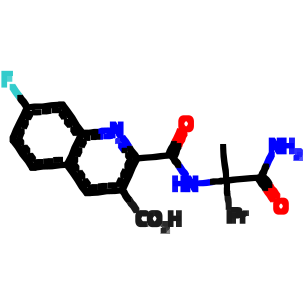 CC(C)C(C)(NC(=O)c1nc2cc(F)ccc2cc1C(=O)O)C(N)=O